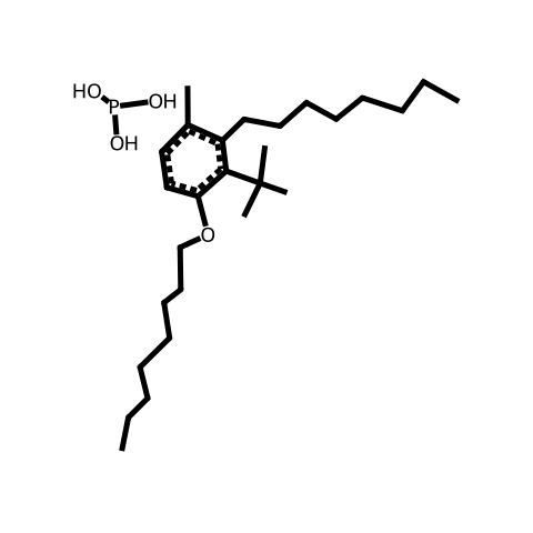 CCCCCCCCOc1ccc(C)c(CCCCCCCC)c1C(C)(C)C.OP(O)O